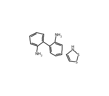 C1=CSSN1.Nc1ccccc1-c1ccccc1N